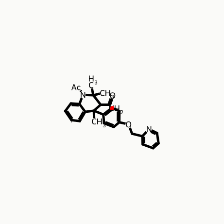 CC(=O)N1c2cc[c]cc2C(C)(c2ccc(OCc3ccccn3)cc2)C(C(N)=O)C1(C)C